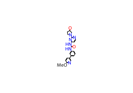 COc1ccc(-c2cccc(NC(=O)Nc3ccnc(N4CCC(=O)C4)n3)c2)cn1